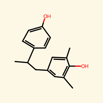 Cc1cc(CC(C)c2ccc(O)cc2)cc(C)c1O